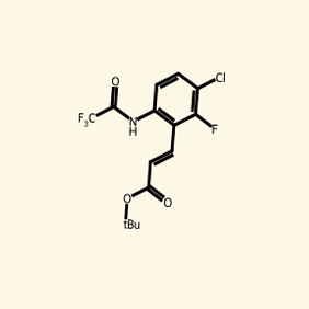 CC(C)(C)OC(=O)/C=C/c1c(NC(=O)C(F)(F)F)ccc(Cl)c1F